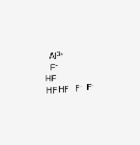 F.F.F.[Al+3].[F-].[F-].[F-]